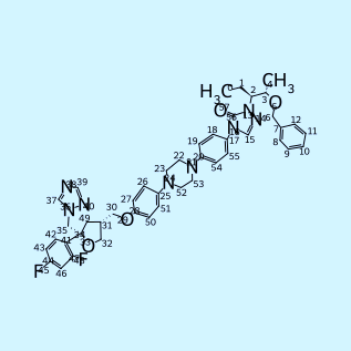 CC[C@@H]([C@H](C)OCc1ccccc1)n1ncn(-c2ccc(N3CCN(c4ccc(OC[C@@H]5CO[C@@](Cn6cncn6)(c6ccc(F)cc6F)C5)cc4)CC3)cc2)c1=O